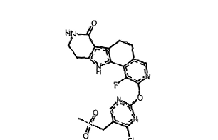 CS(=O)(=O)Cc1cnc(Oc2ncc3c(c2F)-c2[nH]c4c(c2CC3)C(=O)NCC4)nc1Cl